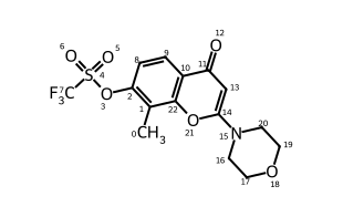 Cc1c(OS(=O)(=O)C(F)(F)F)ccc2c(=O)cc(N3CCOCC3)oc12